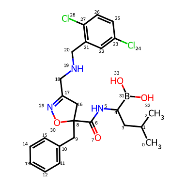 CC(C)CC(NC(=O)C1(Cc2ccccc2)CC(CNCc2cc(Cl)ccc2Cl)=NO1)B(O)O